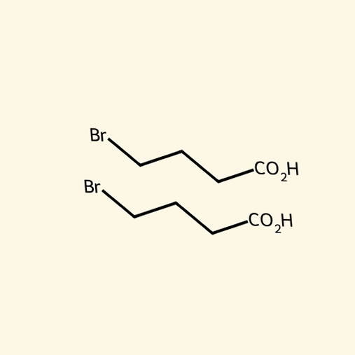 O=C(O)CCCBr.O=C(O)CCCBr